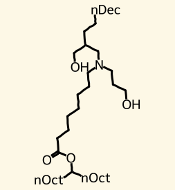 CCCCCCCCCCCCC(CO)CN(CCCO)CCCCCCCC(=O)OC(CCCCCCCC)CCCCCCCC